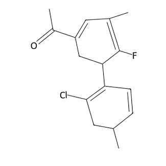 CC(=O)C1=CC(C)=C(F)C(C2=C(Cl)CC(C)C=C2)C1